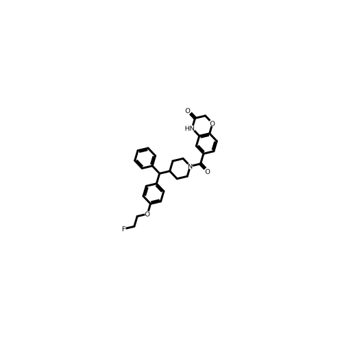 O=C1COc2ccc(C(=O)N3CCC(C(c4ccccc4)c4ccc(OCCF)cc4)CC3)cc2N1